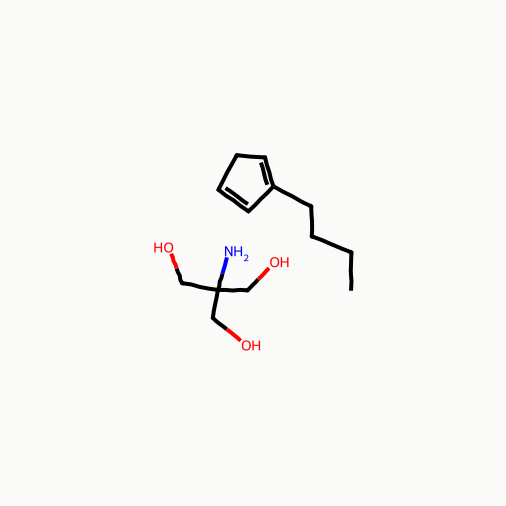 CCCCC1=CCC=C1.NC(CO)(CO)CO